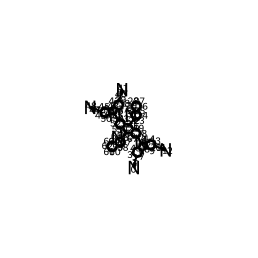 N#Cc1ccc2c(c1)c1cc(C#N)ccc1n2-c1ccc2c(-c3ccc4ccccc4n3)c3cc(-n4c5ccc(C#N)cc5c5cc(C#N)ccc54)ccc3c(-c3ccc4ccccc4n3)c2c1